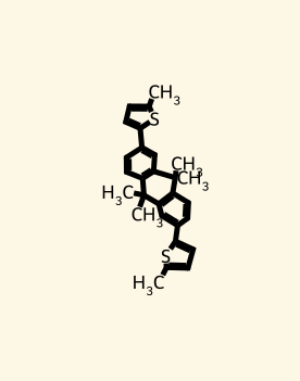 Cc1ccc(-c2ccc3c(c2)C(C)(C)c2ccc(-c4ccc(C)s4)cc2C3(C)C)s1